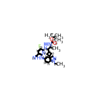 CCn1ncc2cc(Nc3nc(N[C@H](C4CCC4)[C@H](C)NC(=O)OC(C)(C)C)c(F)cc3C#N)ccc21